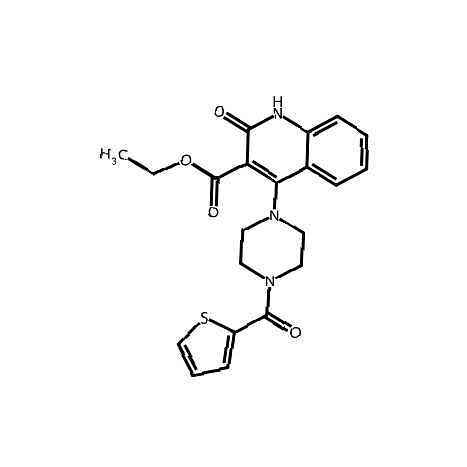 CCOC(=O)c1c(N2CCN(C(=O)c3cccs3)CC2)c2ccccc2[nH]c1=O